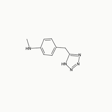 CNc1ccc(Cc2nnn[nH]2)cc1